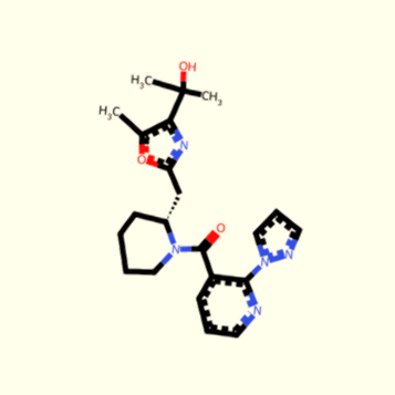 Cc1oc(C[C@H]2CCCCN2C(=O)c2cccnc2-n2cccn2)nc1C(C)(C)O